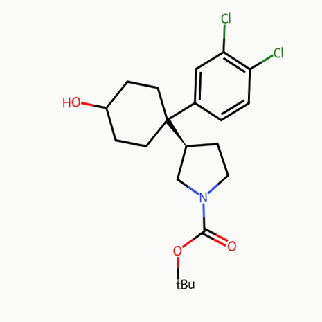 CC(C)(C)OC(=O)N1CC[C@H](C2(c3ccc(Cl)c(Cl)c3)CCC(O)CC2)C1